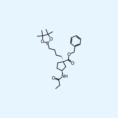 CCC(=O)N[C@H]1CC[C@@](CCCCB2OC(C)(C)C(C)(C)O2)(C(=O)OCc2ccccc2)C1